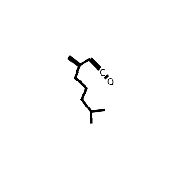 C=C(C=C=O)CCCC(C)C